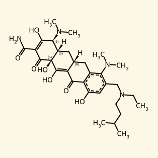 CCN(CCC(C)C)Cc1cc(O)c2c(c1N(C)C)C[C@H]1C[C@H]3[C@H](N(C)C)C(O)=C(C(N)=O)C(=O)[C@@]3(O)C(O)=C1C2=O